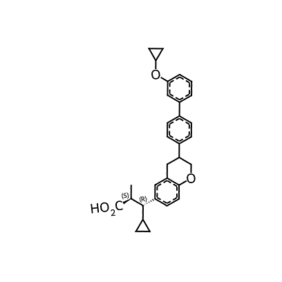 C[C@H](C(=O)O)[C@H](c1ccc2c(c1)CC(c1ccc(-c3cccc(OC4CC4)c3)cc1)CO2)C1CC1